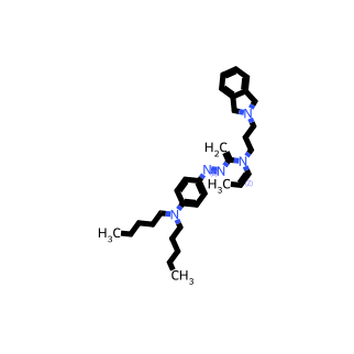 C=C(/N=N/c1ccc(N(CCCCC)CCCCC)cc1)N(/C=C\C)CCCN1Cc2ccccc2C1